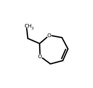 CCC1OCC=CCO1